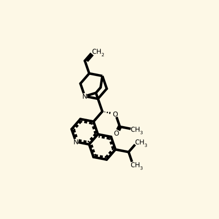 C=CC1CN2CCC1CC2[C@H](OC(C)=O)c1ccnc2ccc(C(C)C)cc12